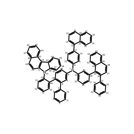 c1ccc(-c2cc(N(c3ccc(-c4cccc5ccccc45)cc3)c3cccc(-c4c(-c5ccccc5)ccc5ccccc45)c3)ccc2-c2ccccc2-n2c3ccccc3c3c4ccccc4ccc32)cc1